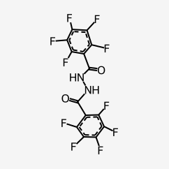 O=C(NNC(=O)c1c(F)c(F)c(F)c(F)c1F)c1c(F)c(F)c(F)c(F)c1F